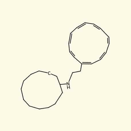 c1ccccccc(CCNC2CCCCCCCCCCCC2)cccccc1